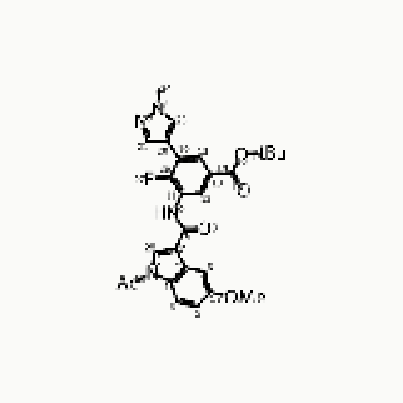 COc1ccc2c(c1)c(C(=O)Nc1cc(C(=O)OC(C)(C)C)cc(-c3cnn(C)c3)c1F)cn2C(C)=O